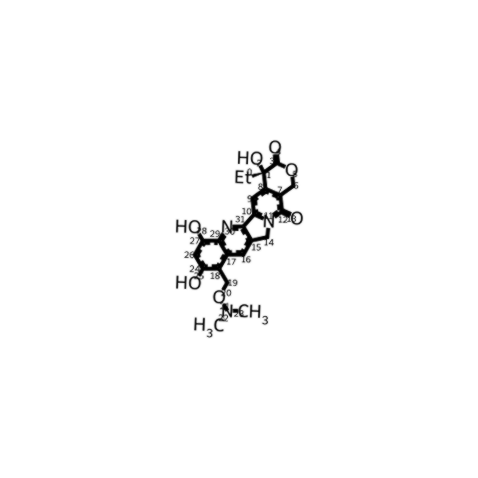 CC[C@@]1(O)C(=O)OCc2c1cc1n(c2=O)Cc2cc3c(CON(C)C)c(O)cc(O)c3nc2-1